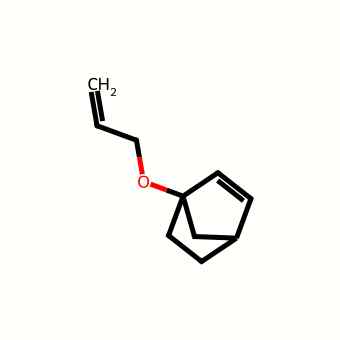 C=CCOC12C=CC(CC1)C2